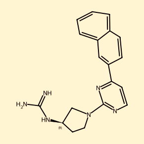 N=C(N)N[C@@H]1CCN(c2nccc(-c3ccc4ccccc4c3)n2)C1